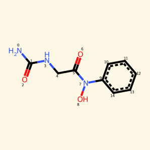 NC(=O)NCC(=O)N(O)c1ccccc1